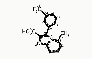 Cc1cccc2nc(C(=O)O)c(-c3cccc(C(F)(F)F)c3)n12